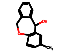 Cc1ccc2c(c1)C(O)c1ccccc1CO2